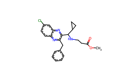 COC(=O)CCNC(c1nc2cc(Cl)ccc2nc1Cc1ccccc1)C1CC1